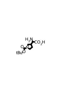 CC(C)(C)OC(=O)N1CCC(C(N)C(=O)O)C1